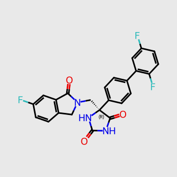 O=C1NC(=O)[C@](CN2Cc3ccc(F)cc3C2=O)(c2ccc(-c3cc(F)ccc3F)cc2)N1